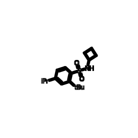 CC(C)c1ccc(S(=O)(=O)NC2CCC2)c(C(C)(C)C)c1